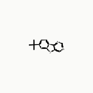 CC(C)(C)c1ccc2c(c1)sc1cncnc12